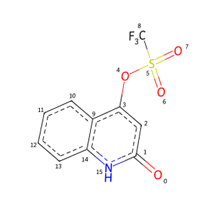 O=c1cc(OS(=O)(=O)C(F)(F)F)c2ccccc2[nH]1